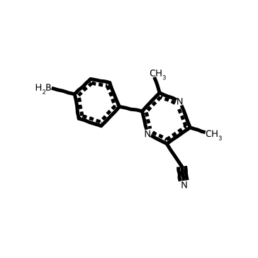 Bc1ccc(-c2nc(C#N)c(C)nc2C)cc1